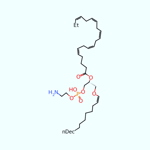 CC/C=C\C/C=C\C/C=C\C/C=C\C/C=C\CCCC(=O)O[C@H](CO/C=C\CCCCCCCCCCCCCCCC)COP(=O)(O)OCCN